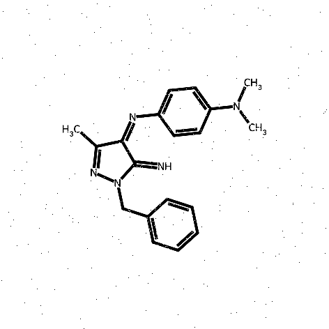 CC1=NN(Cc2ccccc2)C(=N)C1=Nc1ccc(N(C)C)cc1